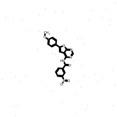 COc1ccc(-c2cc3c(NC(=O)c4cccc([N+](=O)[O-])c4)ncnc3o2)cc1